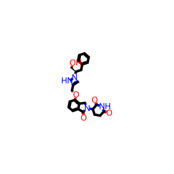 O=C1CCC(N2Cc3c(OCc4cn([C@@H](CO)Cc5ccccc5)[nH]4)cccc3C2=O)C(=O)N1